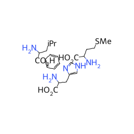 CC(C)CC(N)C(=O)O.CSCCC(N)C(=O)O.NC(Cc1c[nH]cn1)C(=O)O.c1ccccc1